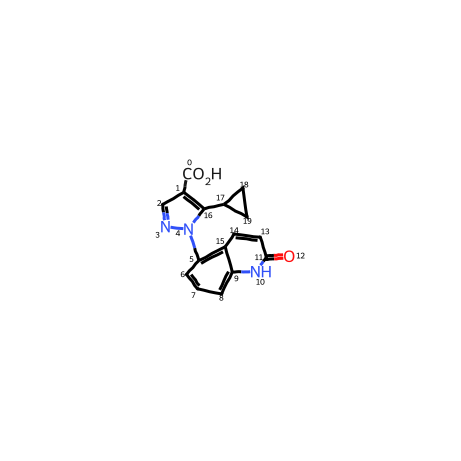 O=C(O)c1cnn(-c2cccc3[nH]c(=O)ccc23)c1C1CC1